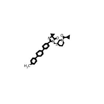 Cc1ccc(-c2ccc(-c3ccc(C4=NC5(CC5)C(=O)N4C[C@@H]4CCCN(C(=O)C5CC5)C4)cc3)cc2)cc1